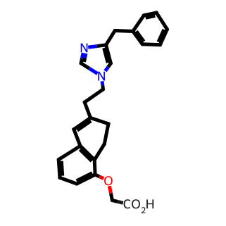 O=C(O)COc1cccc2c1CCC(CCn1cnc(Cc3ccccc3)c1)=C2